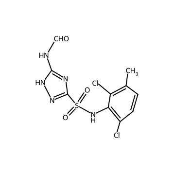 Cc1ccc(Cl)c(NS(=O)(=O)c2n[nH]c(NC=O)n2)c1Cl